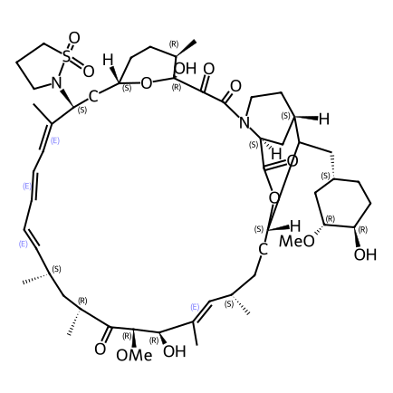 CO[C@@H]1C[C@H](CC2[C@H]3CCN4C(=O)C(=O)[C@]5(O)O[C@@H](CC[C@H]5C)C[C@H](N5CCCS5(=O)=O)/C(C)=C/C=C/C=C/[C@@H](C)C[C@@H](C)C(=O)[C@H](OC)[C@H](O)/C(C)=C/[C@@H](C)CC[C@@H]2OC(=O)[C@@H]4C3)CC[C@H]1O